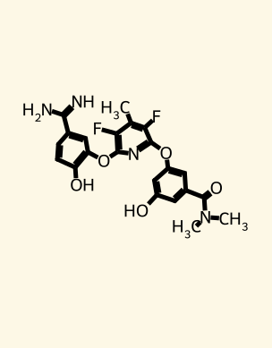 Cc1c(F)c(Oc2cc(O)cc(C(=O)N(C)C)c2)nc(Oc2cc(C(=N)N)ccc2O)c1F